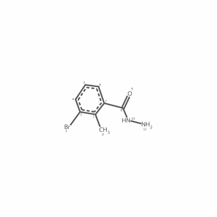 Cc1c(Br)cccc1C(=O)NN